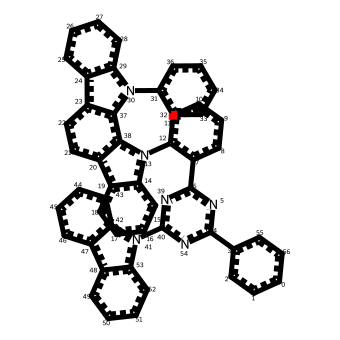 c1ccc(-c2nc(-c3ccccc3-n3c4ccccc4c4ccc5c6ccccc6n(-c6ccccc6)c5c43)nc(-n3c4ccccc4c4ccccc43)n2)cc1